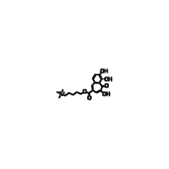 C[N+](C)(C)CCCCCOC(=O)c1cc(O)c(=O)c2c(O)c(O)ccc2c1